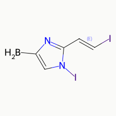 Bc1cn(I)c(/C=C/I)n1